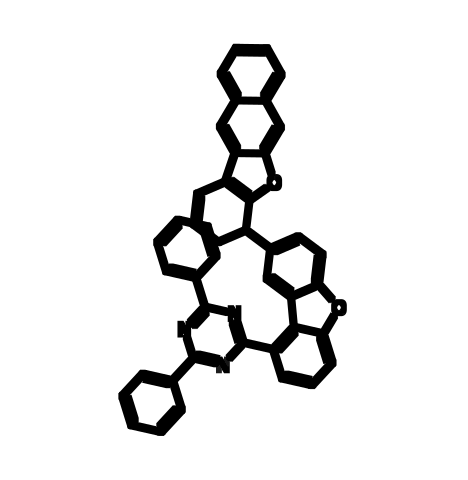 C1=Cc2c(oc3cc4ccccc4cc23)C(c2ccc3oc4cccc(-c5nc(-c6ccccc6)nc(-c6ccccc6)n5)c4c3c2)C1